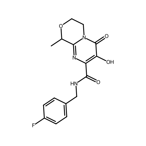 CC1OCCn2c1nc(C(=O)NCc1ccc(F)cc1)c(O)c2=O